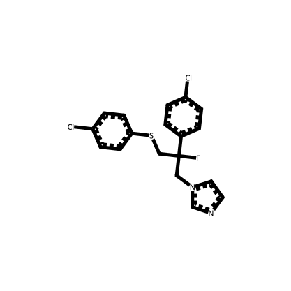 FC(CSc1ccc(Cl)cc1)(Cn1ccnc1)c1ccc(Cl)cc1